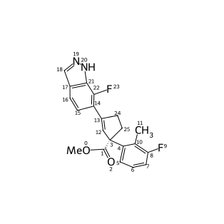 COC(=O)[C@]1(c2cccc(F)c2C)C=C(c2ccc3cn[nH]c3c2F)CC1